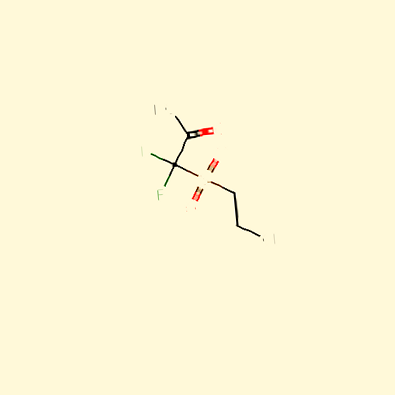 CCCS(=O)(=O)C(F)(F)C(C)=O